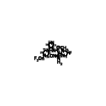 CN1CC(F)CNC1C(C(=O)Nc1cnccc1N1CCN(CC(F)(F)F)CC1)C(N)N=O